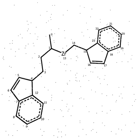 C[CH](CCC1C=Cc2ccccc21)[Zr][CH2]C1C=Cc2ccccc21